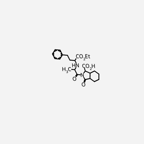 CCOC(=O)C(CCc1ccccc1)NC(C)C(=O)N1C(=O)C2CCCCC2C1C(=O)O